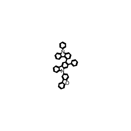 c1ccc(-c2cc3c(cc2-c2cccc4c2c2ccccc2n4-c2ccccc2)c2ccccc2n3-c2ccc3oc4ccccc4c3c2)cc1